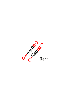 [O]=[Al][O-].[O]=[Al][O-].[Ra+2]